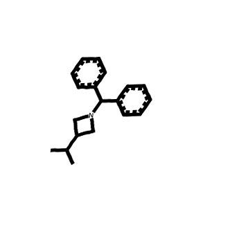 CC(C)C1CN(C(c2ccccc2)c2ccccc2)C1